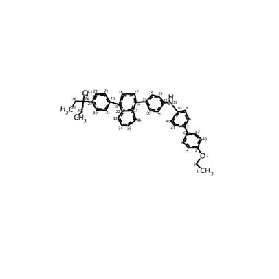 CCOc1ccc(-c2ccc(Nc3ccc(-c4ccc(-c5ccc(C(C)(CC)CC)cc5)c5ccccc45)cc3)cc2)cc1